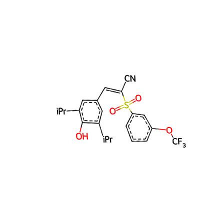 CC(C)c1cc(C=C(C#N)S(=O)(=O)c2cccc(OC(F)(F)F)c2)cc(C(C)C)c1O